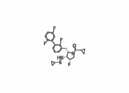 O=C(C1CC1)N1C[C@H](F)[C@H](NSC2CC2)[C@@H]1Cc1cccc(-c2cc(F)ccc2F)c1F